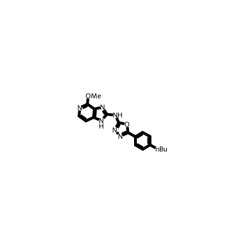 CCCCc1ccc(-c2nnc(Nc3nc4c(OC)nccc4[nH]3)o2)cc1